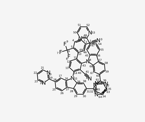 N#Cc1ccc(C(F)(F)F)c(-c2ccc(-n3c4cc(-c5ncccn5)ccc4c4ccc(-c5ncccn5)cc43)c(C#N)c2-n2c3cc(-c4ncccn4)ccc3c3ccc(-c4ncccn4)cc32)c1